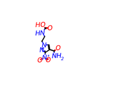 NC(=O)c1cn(CCNC(=O)O)nc1[N+](=O)[O-]